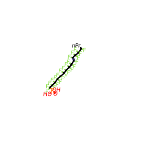 CCCC(F)C(F)(F)C(F)(F)/C(F)=C(\F)C(F)(F)C(F)(F)C(F)(F)C(F)(F)C(F)(F)C(F)(F)C(F)(F)C(F)(F)C(F)(F)P(=O)(O)O